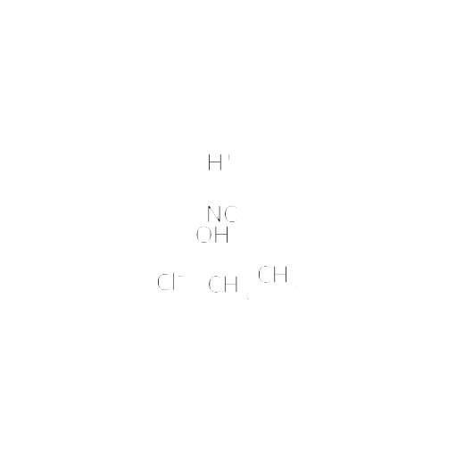 CC#N.CO.[Cl-].[H+]